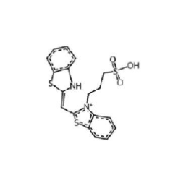 O=S(=O)(O)CCC[n+]1c(C=C2Nc3ccccc3S2)sc2ccccc21